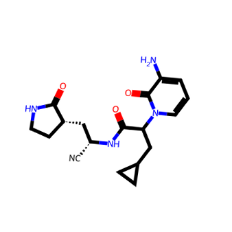 N#C[C@H](C[C@@H]1CCNC1=O)NC(=O)C(CC1CC1)n1cccc(N)c1=O